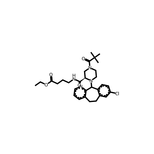 CCOC(=O)CCCNC(=O)[C@H]1CN(C(=O)C(C)(C)C)CCN1C1c2ccc(Cl)cc2CCc2cccnc21